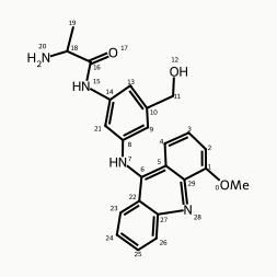 COc1cccc2c(Nc3cc(CO)cc(NC(=O)C(C)N)c3)c3ccccc3nc12